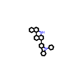 c1ccc(-n2c3ccccc3c3ccc(-c4ccc5c6c(cccc46)-c4c(ccc6ccccc46)N5)cc32)cc1